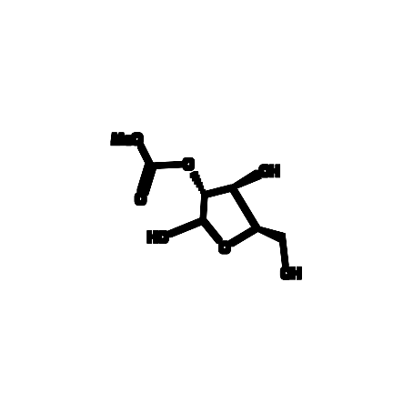 COC(=O)O[C@H]1C(O)O[C@H](CO)[C@@H]1O